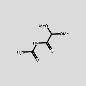 COC(OC)C(=O)NC(N)=O